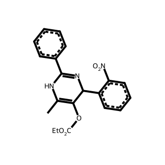 CCOC(=O)OC1=C(C)NC(c2ccccc2)=NC1c1ccccc1[N+](=O)[O-]